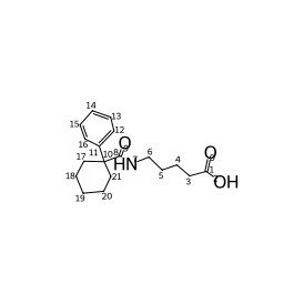 O=C(O)CCCCNC(=O)C1(c2ccccc2)CCCCC1